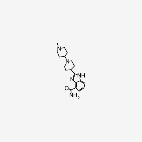 CN1CCC(N2CCC(c3nc4c(C(N)=O)cccc4[nH]3)CC2)CC1